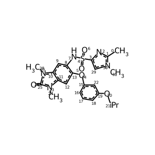 Cc1nc(S(=O)(=O)Nc2cc3c(cc2Oc2cccc(OC(C)C)c2)n(C)c(=O)n3C)cn1C